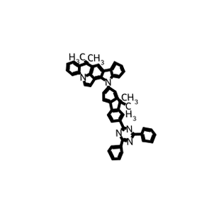 CC1(C)c2cc(-c3nc(-c4ccccc4)nc(-c4ccccc4)n3)ccc2-c2ccc(-n3c4ccccc4c4cc5c6c(ccn6-c6ccccc6C5(C)C)c43)cc21